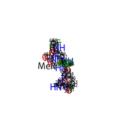 CNC(C)C(=O)NC(C(=O)N1Cc2cc(NC(=O)CNC(=O)C3(C)CN(C(=O)CN4C[C@@H](C)NC[C@@H]4CN4CCOC[C@H]4C)c4cc(Cc5ccc(F)cc5)ccc43)ccc2C[C@H]1C(=O)Nc1c(F)cccc1F)C1CCOCC1.Cl.Cl.Cl